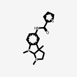 CN1CCC2(C)c3cc(NC(=O)c4cccs4)ccc3N(C)C12